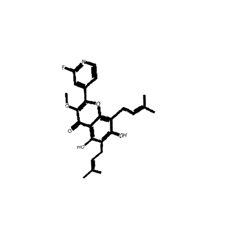 COc1c(-c2ccnc(F)c2)oc2c(CC=C(C)C)c(O)c(CC=C(C)C)c(O)c2c1=O